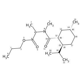 CCCOC(=O)C(C)N(C)C(=O)[C@@H]1C[C@H](C)CC[C@H]1C(C)C